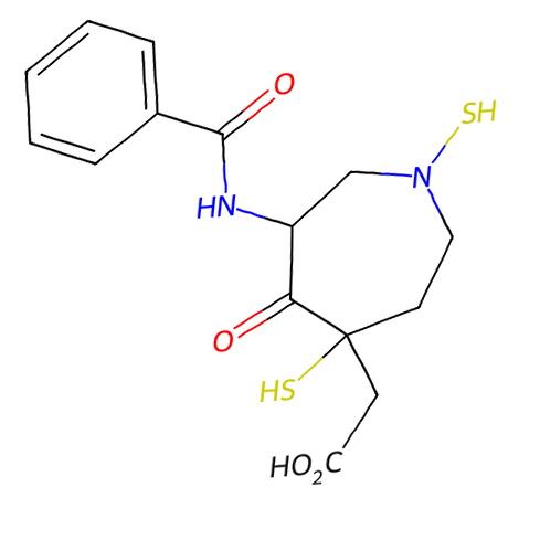 O=C(O)CC1(S)CCN(S)CC(NC(=O)c2ccccc2)C1=O